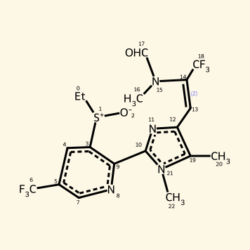 CC[S+]([O-])c1cc(C(F)(F)F)cnc1-c1nc(/C=C(\N(C)C=O)C(F)(F)F)c(C)n1C